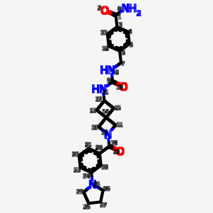 NC(=O)c1ccc(CNC(=O)NC2CC3(C2)CN(C(=O)c2cccc(N4CCCC4)c2)C3)cc1